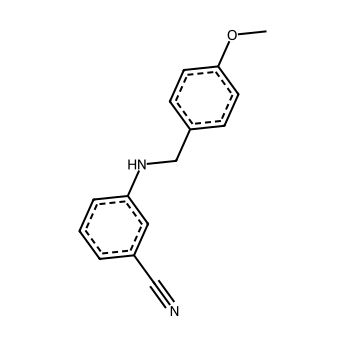 COc1ccc(CNc2cccc(C#N)c2)cc1